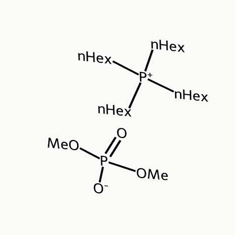 CCCCCC[P+](CCCCCC)(CCCCCC)CCCCCC.COP(=O)([O-])OC